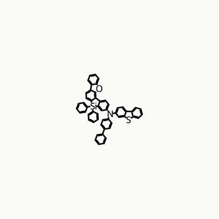 c1ccc(-c2ccc(N(c3ccc4c(c3)[Si](c3ccccc3)(c3ccccc3)c3ccc5c(oc6ccccc65)c3-4)c3ccc4c(c3)sc3ccccc34)cc2)cc1